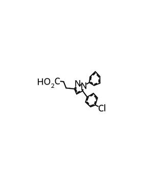 O=C(O)CCc1cc(-c2ccc(Cl)cc2)n(-c2ccccc2)n1